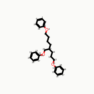 c1ccc(OCCCCC(CCCOc2ccccc2)COc2ccccc2)cc1